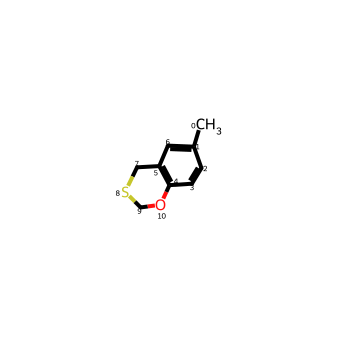 Cc1ccc2c(c1)CSCO2